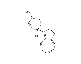 CC(C)(C)C1=CCC(N)(c2ccc3cccccc2-3)C=C1